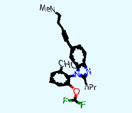 CCCc1nc2ccc(C#CCCNC)cc2n1-c1c(C=O)cccc1OC(F)F